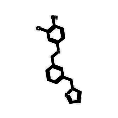 Oc1ccc(SCc2cccc(Cn3cncn3)c2)cc1Cl